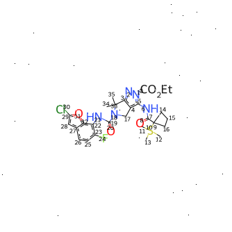 CCOC(=O)n1nc2c(c1NC(=O)C1(S(C)(C)C)CCC1)CN(C(=O)Nc1c(F)ccc3cc(Cl)oc13)C2(C)C